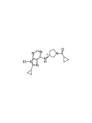 CCn1c(C2CC2)nc2c(N[C@H]3CCN(C(=O)C4CC4)C3)ncnc21